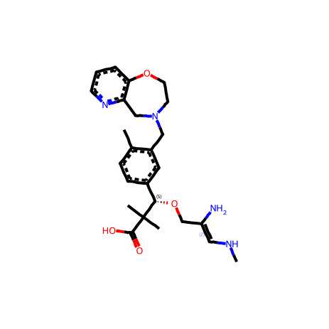 CN/C=C(\N)CO[C@@H](c1ccc(C)c(CN2CCOc3cccnc3C2)c1)C(C)(C)C(=O)O